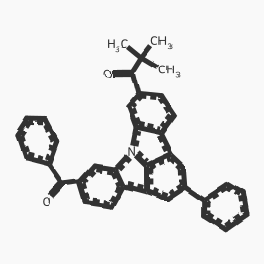 CC(C)(C)C(=O)c1ccc2c3cc(-c4ccccc4)cc4c5ccc(C(=O)c6ccccc6)cc5n(c2c1)c43